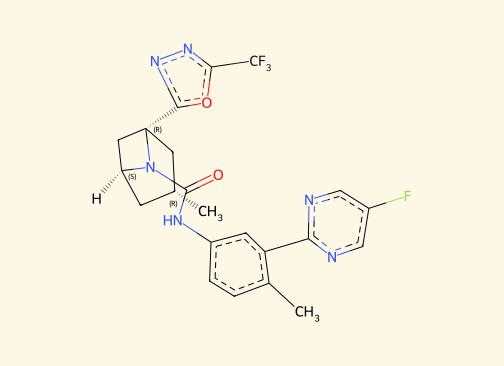 Cc1ccc(NC(=O)N2[C@H]3C[C@@H](C)C[C@]2(c2nnc(C(F)(F)F)o2)C3)cc1-c1ncc(F)cn1